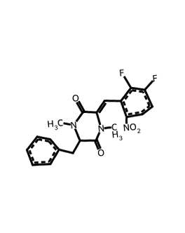 CN1C(=O)C(Cc2ccccc2)N(C)C(=O)C1=Cc1c([N+](=O)[O-])ccc(F)c1F